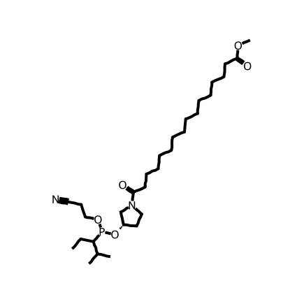 CCC(C(C)C)P(OCCC#N)O[C@H]1CCN(C(=O)CCCCCCCCCCCCCCC(=O)OC)C1